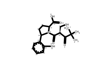 CC(C)(C)C(=O)[C@H](CS)C(=O)N1C(C(=O)O)CCC1c1ccccc1O